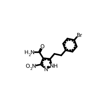 NC(=O)c1c([N+](=O)[O-])n[nH]c1CCc1ccc(Br)cc1